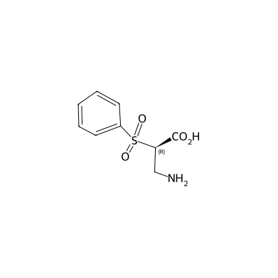 NC[C@H](C(=O)O)S(=O)(=O)c1ccccc1